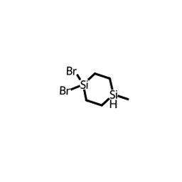 C[SiH]1CC[Si](Br)(Br)CC1